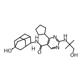 CC(C)(CO)Nc1ncc(C(=O)N[C@H]2C3CC4CC2C[C@@](O)(C4)C3)c(C2CCCC2)n1